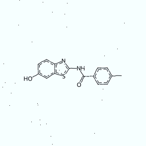 Cc1ccc(C(=O)Nc2nc3ccc(O)cc3s2)cc1